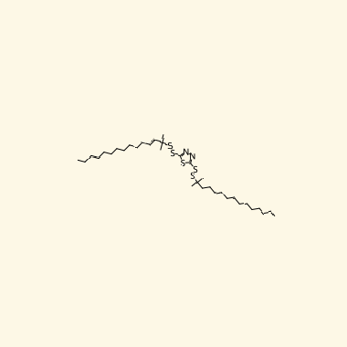 CCCCCCCCCCCCCC(C)(C)SSc1nnc(SSC(C)(C)CCCCCCCCCCCCC)s1